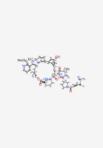 CCN1C(c2cccnc2COC)=C2CC(C)(C)COC(=O)[C@@H]3CCCN(N3)C(=O)[C@@H](NC(=O)[C@H](C(C)C)N(C)C(=O)[C@H]3CCN(C(=O)C#C[C@@H](C)N(C)C)C3)Cc3cc(O)cc(c3)C3=CN2C1C=C3